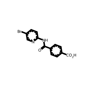 O=C(O)c1ccc(C(=O)Nc2ccc(Br)cn2)cc1